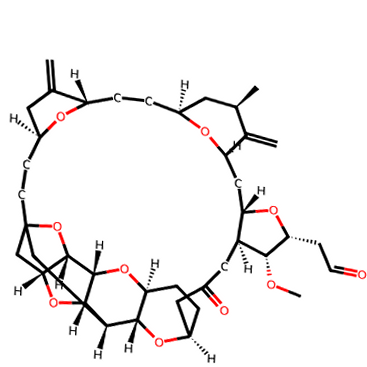 C=C1C[C@@H]2CCC34C[C@H]5[C@H]6O[C@H](CC[C@@H]6O[C@H]6[C@@H](O3)[C@@H](C4)O[C@@H]56)CC(=O)C[C@@H]3[C@@H](OC)[C@@H](CC=O)O[C@H]3C[C@H]3O[C@@H](CC[C@@H]1O2)C[C@@H](C)C3=C